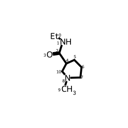 CCNC(=O)C1CCCN(C)C1